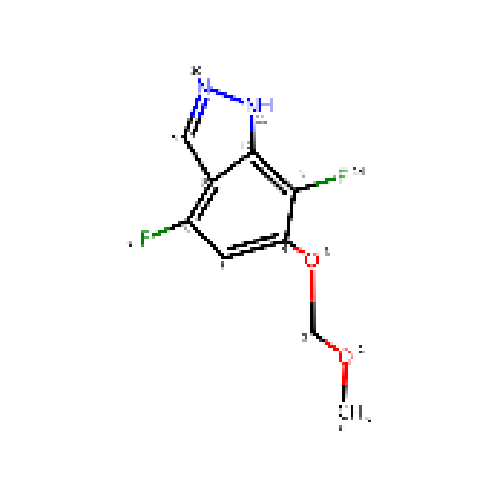 COCOc1cc(F)c2cn[nH]c2c1F